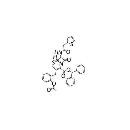 CC(=O)Oc1ccccc1CC1=C(C(=O)OC(c2ccccc2)c2ccccc2)N2C(=O)C(NC(=O)Cc3cccs3)[C@H]2SC1